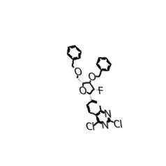 C=C(/C=C\c1c(C)nc(Cl)nc1Cl)[C@@H]1O[C@H](COCc2ccccc2)[C@@H](OCc2ccccc2)[C@@H]1F